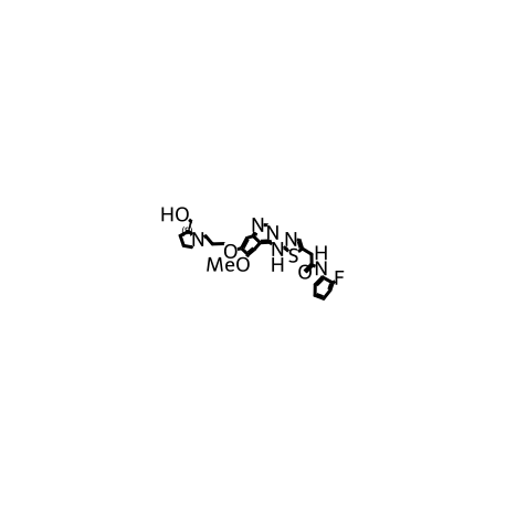 COc1cc2c(Nc3ncc(CC(=O)Nc4ccccc4F)s3)ncnc2cc1OCCCN1CCC[C@H]1CO